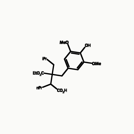 CCCC(C(=O)O)C(Cc1cc(OC)c(O)c(OC)c1)(CC(C)C)C(=O)OCC